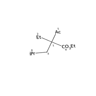 CCOC(=O)C(CC)(CC(C)C)C(C)=O